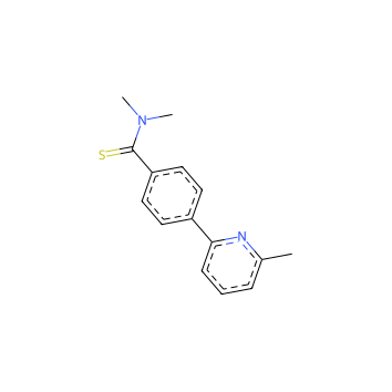 Cc1cccc(-c2ccc(C(=S)N(C)C)cc2)n1